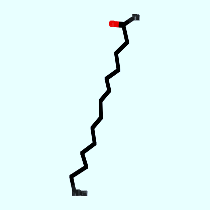 CCCCCCCCCCCCCCCCCCCCCCC(=O)CC